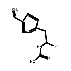 C=Cc1ccc(CC(CCC)NC(O)=S)cc1